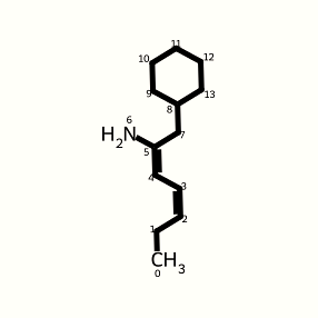 CC/C=C\C=C(\N)CC1CCCCC1